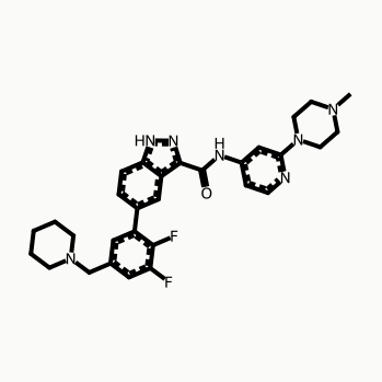 CN1CCN(c2cc(NC(=O)c3n[nH]c4ccc(-c5cc(CN6CCCCC6)cc(F)c5F)cc34)ccn2)CC1